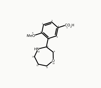 COc1ccc(C(=O)O)cc1C1COCCCN1